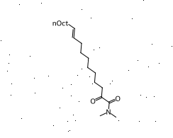 CCCCCCCCC=CCCCCCCCC(=O)C(=O)N(C)C